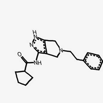 O=C(Nc1n[nH]c2c1CN(CCc1ccccc1)C2)C1CCCC1